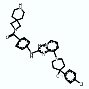 O=C(c1ccc(Nc2nc3c(N4CCC(O)(c5ccc(Cl)cc5)CC4)cccn3n2)cc1)N1CC2(CCNCC2)C1